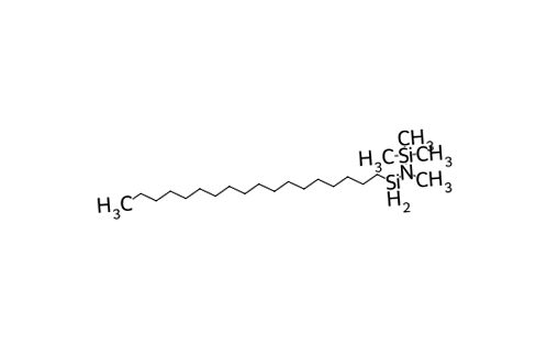 CCCCCCCCCCCCCCCCCC[SiH2]N(C)[Si](C)(C)C